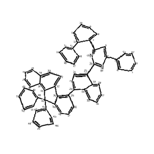 c1ccc(-c2cc(-c3ccccc3-c3ccccc3)nc(-c3ccc(-c4cccc5c4-c4ccc6ccccc6c4C5(c4ccccc4)c4ccccc4)c4ccccc34)n2)cc1